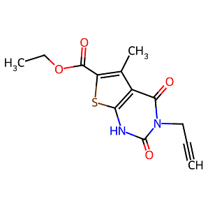 C#CCn1c(=O)[nH]c2sc(C(=O)OCC)c(C)c2c1=O